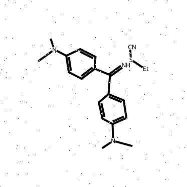 CCSC#N.CN(C)c1ccc(C(=N)c2ccc(N(C)C)cc2)cc1